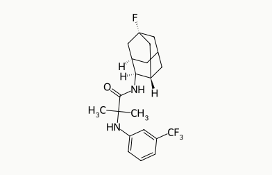 CC(C)(Nc1cccc(C(F)(F)F)c1)C(=O)N[C@H]1[C@@H]2CC3C[C@H]1C[C@](F)(C3)C2